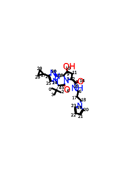 CC(C)(C)[C@@H](C(=O)N1CC(O)CC1C(=O)NCCCn1cccc1)n1cc(C2CC2)nn1